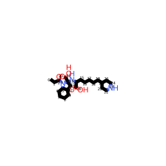 CCC(=O)N1C2CCCCC2CC1(NC(CCCCCC1CCNCC1)C(=O)O)C(=O)O